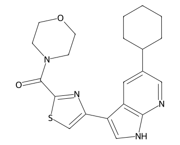 O=C(c1nc(-c2c[nH]c3ncc(C4CCCCC4)cc23)cs1)N1CCOCC1